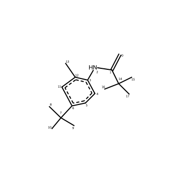 C=C(Nc1ccc(C(C)(C)C)cc1C)C(C)(C)C